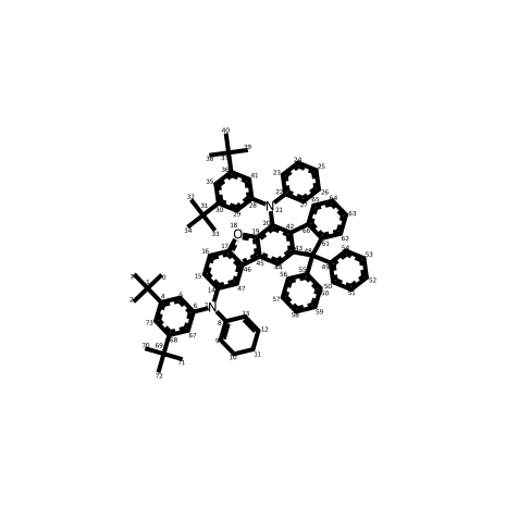 CC(C)(C)c1cc(N(C2=CCCC=C2)c2ccc3oc4c(N(c5ccccc5)c5cc(C(C)(C)C)cc(C(C)(C)C)c5)c5c(cc4c3c2)C(c2ccccc2)(c2ccccc2)c2ccccc2-5)cc(C(C)(C)C)c1